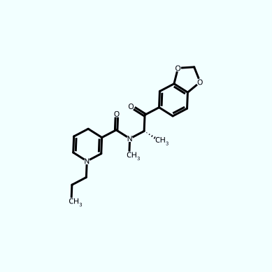 CCCN1C=CCC(C(=O)N(C)[C@@H](C)C(=O)c2ccc3c(c2)OCO3)=C1